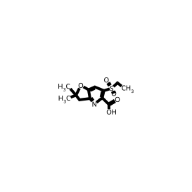 CCS(=O)(=O)c1cc2c(nc1C(=O)O)CC(C)(C)O2